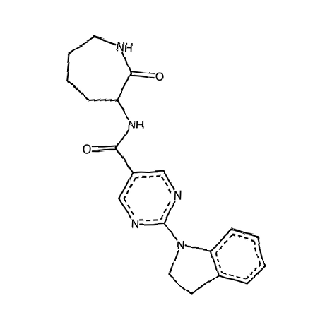 O=C(NC1CCCCNC1=O)c1cnc(N2CCc3ccccc32)nc1